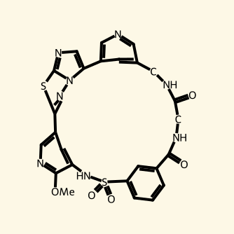 COc1ncc2cc1NS(=O)(=O)c1cccc(c1)C(=O)NCC(=O)NCc1cncc(c1)-c1cnc3sc-2nn13